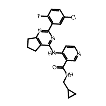 O=C(NCC1CC1)c1cnccc1Nc1nc(-c2cc(Cl)ccc2F)nc2c1CCC2